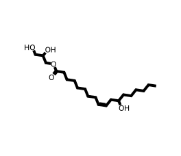 CCCCCCC(O)C/C=C\CCCCCCCC(=O)OCC(O)CO